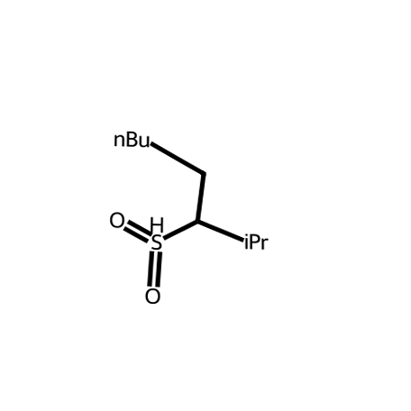 [CH2]C(C)C(CCCCC)[SH](=O)=O